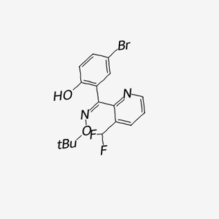 CC(C)(C)O/N=C(/c1cc(Br)ccc1O)c1ncccc1C(F)F